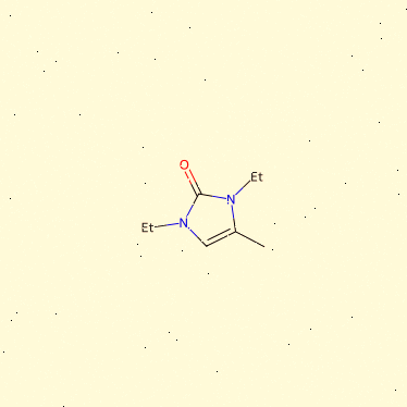 CCn1cc(C)n(CC)c1=O